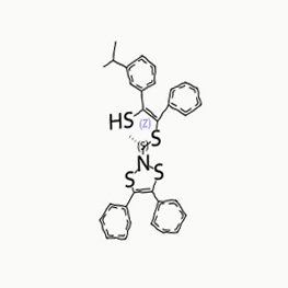 CC(C)c1cccc(/C(S)=C(/S[C@@H](C)N2SC(c3ccccc3)=C(c3ccccc3)S2)c2ccccc2)c1